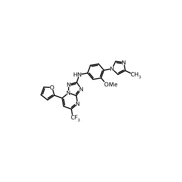 COc1cc(Nc2nc3nc(C(F)(F)F)cc(-c4ccco4)n3n2)ccc1-n1cnc(C)c1